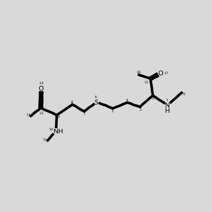 CNC(CCCSCCC(NC)C(C)=O)C(C)=O